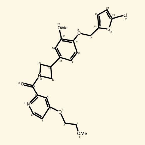 COCCOc1ccnc(C(=O)N2CC(c3ccc(OCc4ccc(Cl)s4)c(OC)c3)C2)c1